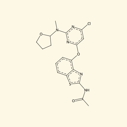 CC(=O)Nc1nc2c(Oc3cc(Cl)nc(N(C)C4CCCO4)n3)cccc2s1